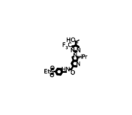 CCS(=O)(=O)c1ccc(CNC(=O)c2cnc3c(c2)CN(c2ncc([C@H](C)O)c(C(F)(F)F)n2)[C@H]3C(C)C)cc1